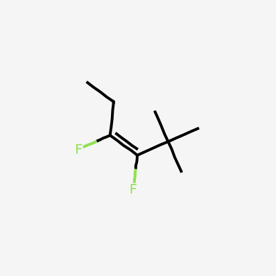 CC/C(F)=C(/F)C(C)(C)C